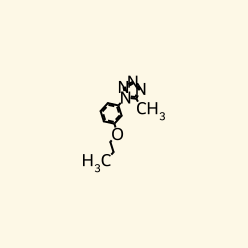 CCCOc1cccc(-n2nnnc2C)c1